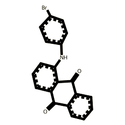 O=C1c2ccccc2C(=O)c2c(Nc3ccc(Br)cc3)cccc21